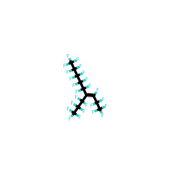 F/C(=C(/C(F)(F)C(F)(F)C(F)(F)F)C(F)(F)C(F)(F)C(F)(F)C(F)(F)C(F)(F)F)C(F)(F)C(F)(F)F